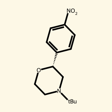 CC(C)(C)N1CCO[C@H](c2ccc([N+](=O)[O-])cc2)C1